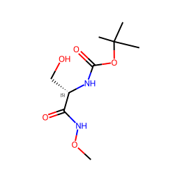 CONC(=O)[C@H](CO)NC(=O)OC(C)(C)C